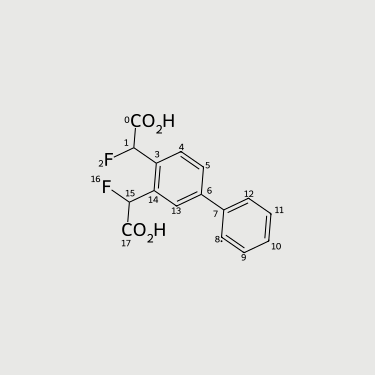 O=C(O)C(F)c1ccc(-c2[c]cccc2)cc1C(F)C(=O)O